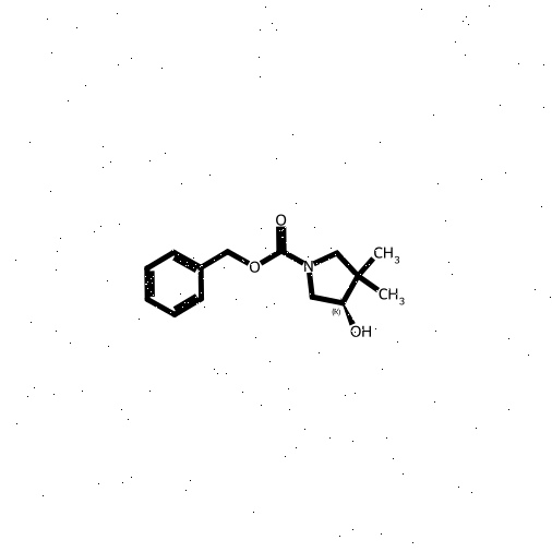 CC1(C)CN(C(=O)OCc2ccccc2)C[C@@H]1O